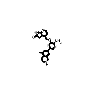 Cc1cc(-c2cnc(N)c(OCc3ccnc4c3CC(=O)N4)n2)cc2c1CCN(C)C2